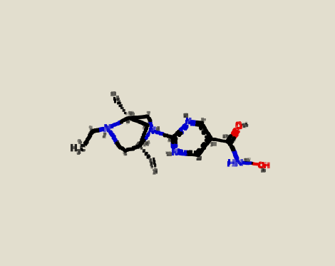 CCN1C[C@H]2C[C@@H]1CN2c1ncc(C(=O)NO)cn1